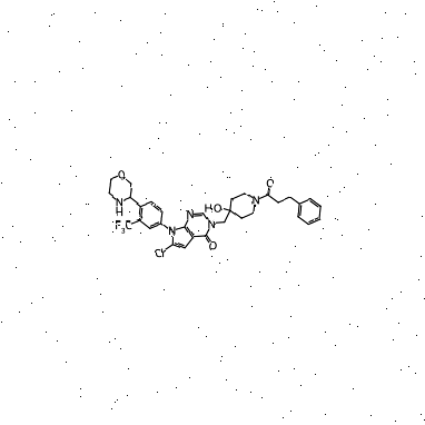 O=C(CCc1ccccc1)N1CCC(O)(Cn2cnc3c(cc(Cl)n3-c3ccc(C4COCCN4)c(C(F)(F)F)c3)c2=O)CC1